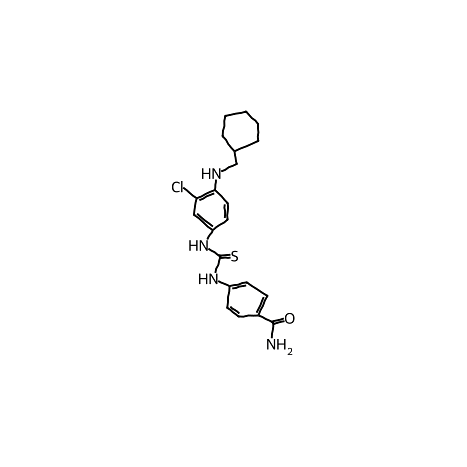 NC(=O)c1ccc(NC(=S)Nc2ccc(NCC3CCCCC3)c(Cl)c2)cc1